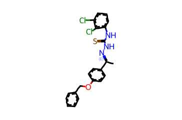 C/C(=N\NC(=S)Nc1cccc(Cl)c1Cl)c1ccc(OCc2ccccc2)cc1